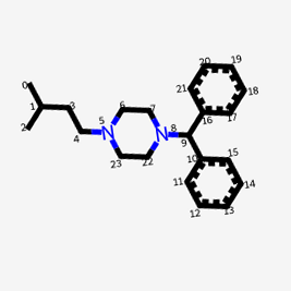 CC(C)CCN1CCN(C(c2ccccc2)c2ccccc2)CC1